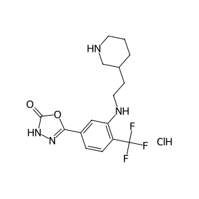 Cl.O=c1[nH]nc(-c2ccc(C(F)(F)F)c(NCCC3CCCNC3)c2)o1